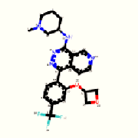 CN1CCC[C@@H](Nc2nnc(-c3ccc(C(F)(F)F)cc3OC3COC3)c3ccncc23)C1